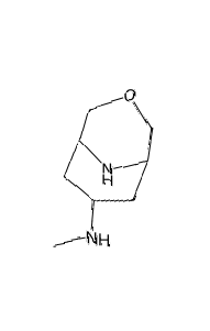 CNC1CC2COCC(C1)N2